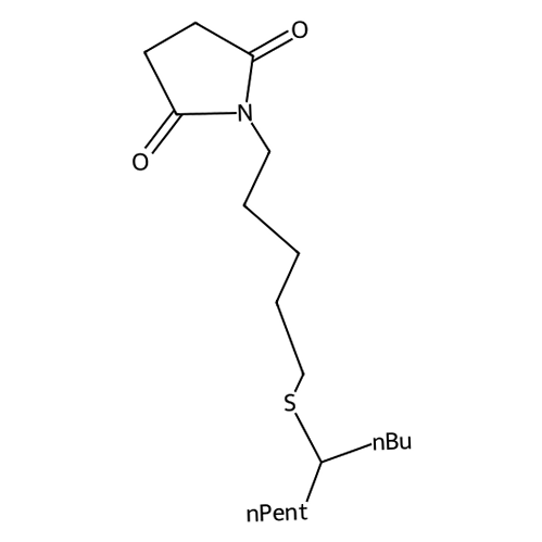 CCCCCC(CCCC)SCCCCCN1C(=O)CCC1=O